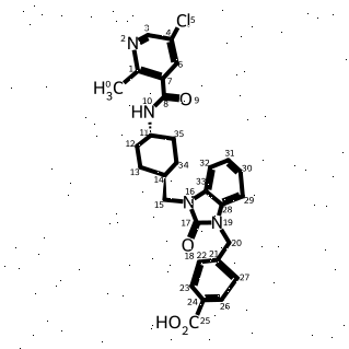 Cc1ncc(Cl)cc1C(=O)N[C@H]1CC[C@H](Cn2c(=O)n(Cc3ccc(C(=O)O)cc3)c3ccccc32)CC1